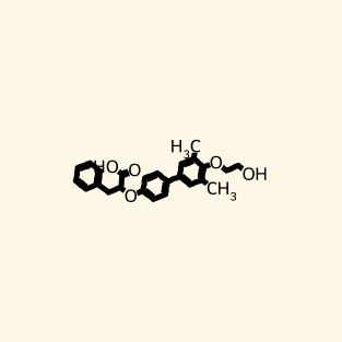 Cc1cc(-c2ccc(OC(Cc3ccccc3)C(=O)O)cc2)cc(C)c1OCCO